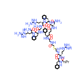 CCCC(=O)N[C@@H](Cc1ccccc1)C(=O)N[C@@H](CCCNC(=N)N)C(=O)NCCSCC(=O)NCC(=O)N[C@@H](Cc1ccccc1)C(=O)CCC(=O)N[C@@H](CC(N)=O)C(=O)N[C@@H](Cc1ccccc1)C(=O)N[C@@H](CCCNC(=N)N)C(=O)NCC(=O)N[C@@H](Cc1ccccc1)C(=O)N[C@@H](CCCNC(=N)N)C(N)=O